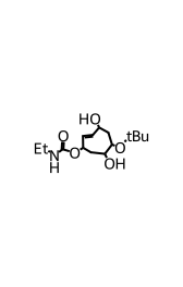 CCNC(=O)OC1/C=C/C(O)CC(OC(C)(C)C)C(O)C1